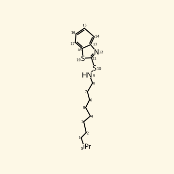 CC(C)CCCCCCCCNSc1nc2ccccc2s1